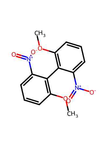 COc1cccc([N+](=O)[O-])c1-c1c(OC)cccc1[N+](=O)[O-]